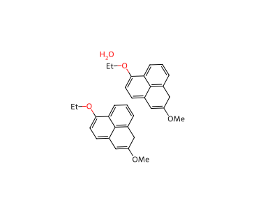 CCOc1ccc2c3c(cccc13)CC(OC)=C2.CCOc1ccc2c3c(cccc13)CC(OC)=C2.O